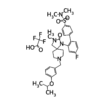 CC(C)Oc1cccc(CN2CCC3(CC2)CN(C)C(=O)N3c2cc(F)ccc2-c2ccc(S(=O)(=O)N(C)C)cc2)c1.O=C(O)C(F)(F)F